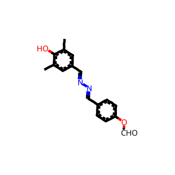 Cc1cc(/C=N/N=C/c2ccc(OC=O)cc2)cc(C)c1O